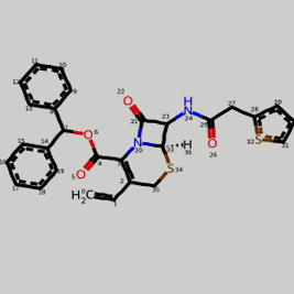 C=CC1=C(C(=O)OC(c2ccccc2)c2ccccc2)N2C(=O)C(NC(=O)Cc3cccs3)[C@H]2SC1